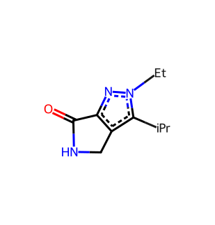 CCn1nc2c(c1C(C)C)CNC2=O